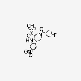 CCOC(=O)C1=CN(C(=O)c2ccc(F)cc2)CCc2c1[nH]c1cc([N+](=O)[O-])ccc21